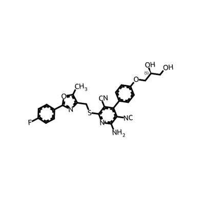 [C-]#[N+]c1c(N)nc(SCc2nc(-c3ccc(F)cc3)oc2C)c(C#N)c1-c1ccc(OC[C@@H](O)CO)cc1